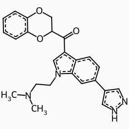 CN(C)CCn1cc(C(=O)C2COc3ccccc3O2)c2ccc(-c3cn[nH]c3)cc21